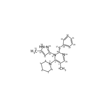 CC1=C(N2CCCCC2)N(c2cc(C)[nH]n2)C(Sc2ccccc2)N=C1